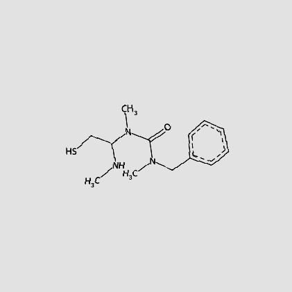 CNC(CS)N(C)C(=O)N(C)Cc1ccccc1